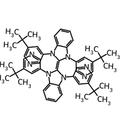 CC(C)(C)c1cncc(N2C(=C3N(c4cncc(C(C)(C)C)c4)c4ccccc4N3c3cncc(C(C)(C)C)c3)N(c3cncc(C(C)(C)C)c3)c3ccccc32)c1